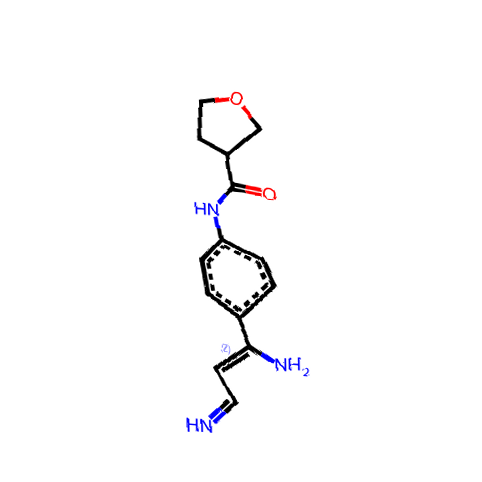 N=C/C=C(\N)c1ccc(NC(=O)C2CCOC2)cc1